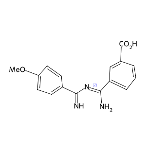 COc1ccc(C(=N)/N=C(\N)c2cccc(C(=O)O)c2)cc1